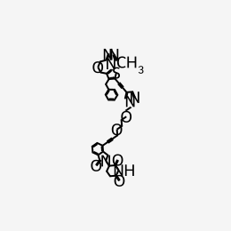 Cc1nnc2n1-c1sc(C#Cc3cnn(CCOCCOCC#Cc4cccc5c4CN(C4CCC(=O)NC4=O)C5=O)c3)c(Cc3ccccc3)c1COC2